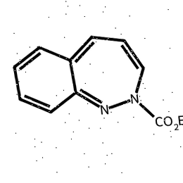 CCOC(=O)N1C=CC=c2ccccc2=N1